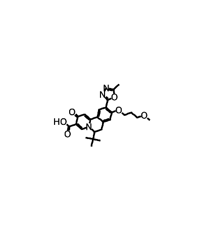 COCCCOc1cc2c(cc1-c1nnc(C)o1)-c1cc(=O)c(C(=O)O)cn1C(C(C)(C)C)C2